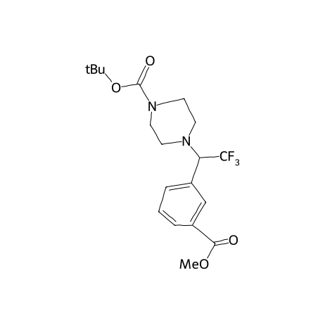 COC(=O)c1cccc(C(N2CCN(C(=O)OC(C)(C)C)CC2)C(F)(F)F)c1